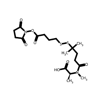 C[C@@H](C(=O)O)N(C)C(=O)CCC(C)(C)SSCCCC(=O)ON1C(=O)CCC1=O